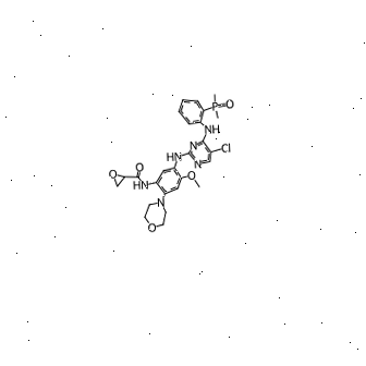 COc1cc(N2CCOCC2)c(NC(=O)C2CO2)cc1Nc1ncc(Cl)c(Nc2ccccc2P(C)(C)=O)n1